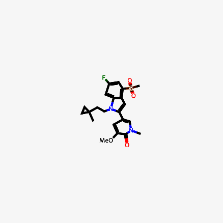 COc1cc(-c2cc3c(S(C)(=O)=O)cc(F)cc3n2CCC2(C)CC2)cn(C)c1=O